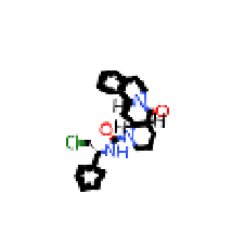 O=C(N[C@@H](CCl)c1ccccc1)N1CCC[C@H]2C(=O)N3CCc4ccccc4[C@@H]3C[C@H]21